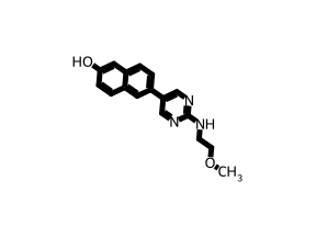 COCCNc1ncc(-c2ccc3cc(O)ccc3c2)cn1